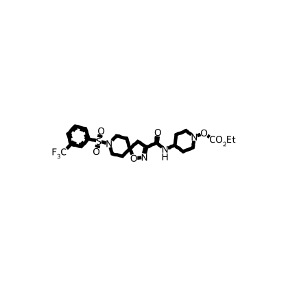 CCOC(=O)ON1CCC(NC(=O)C2=NOC3(CCN(S(=O)(=O)c4cccc(C(F)(F)F)c4)CC3)C2)CC1